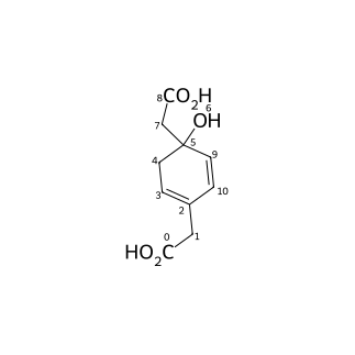 O=C(O)CC1=CCC(O)(CC(=O)O)C=C1